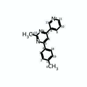 Cc1ccc(-c2cc(-c3cccnc3)nc(C)n2)cc1